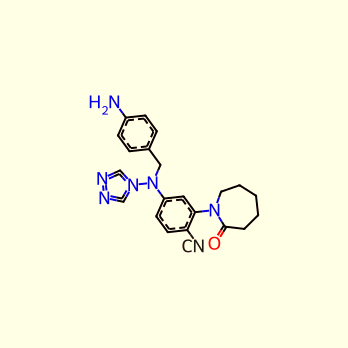 N#Cc1ccc(N(Cc2ccc(N)cc2)n2cnnc2)cc1N1CCCCCC1=O